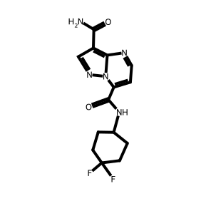 NC(=O)c1cnn2c(C(=O)NC3CCC(F)(F)CC3)ccnc12